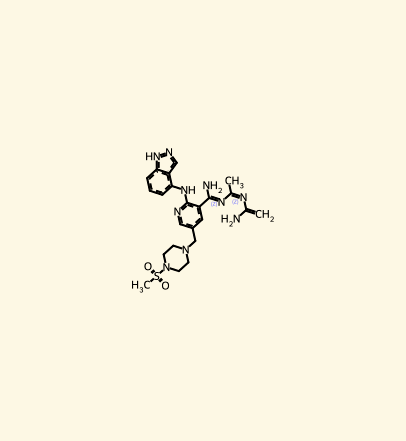 C=C(N)/N=C(C)\N=C(/N)c1cc(CN2CCN(S(C)(=O)=O)CC2)cnc1Nc1cccc2[nH]ncc12